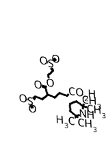 CC1(C)CCCC(C)(C)N1.O=C(O)CCCC(CC=S(=O)=O)C(=O)OCC=S(=O)=O